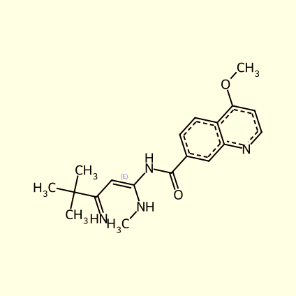 CN/C(=C\C(=N)C(C)(C)C)NC(=O)c1ccc2c(OC)ccnc2c1